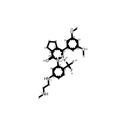 CNCCNc1ccc(C(F)(F)F)c(-n2nc(-c3cc(OC)cc(OC)c3)c3c(c2=O)CCC3)c1